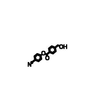 N#Cc1ccc(OC(=O)c2ccc(CO)cc2)cc1